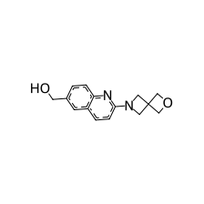 OCc1ccc2nc(N3CC4(COC4)C3)ccc2c1